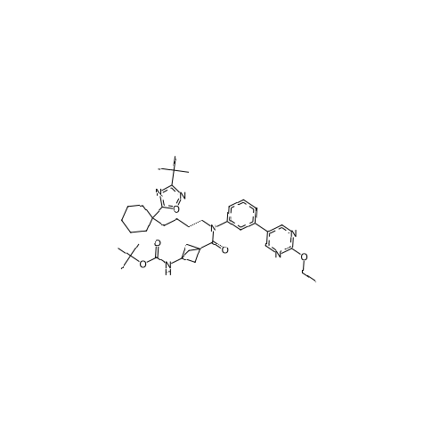 CCOc1ncc(-c2cccc(N(CCCCC3(c4nc(C(C)(C)C)no4)CCCCC3)C(=O)C34CC(NC(=O)OC(C)(C)C)(C3)C4)c2)cn1